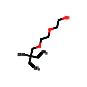 C=CC(C=C)(COCCOCCO)OC